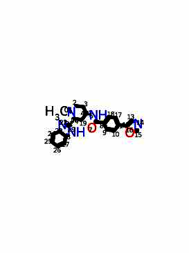 CN1CC[C@@H](NC(=O)c2ccc(-c3cnco3)cc2)C[C@@H]1C1=NC2C=CC=CC2N1